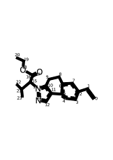 C=Cc1ccc2c(c1)CCc1c-2cnn1C(C(=O)OCC)C(C)C